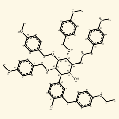 CCOc1ccc(Cc2cc([C@@H]3[C@@H](O)[C@H](COCc4ccc(OC)cc4)[C@@H](OCc4ccc(OC)cc4)[C@H](OCc4ccc(OC)cc4)[C@H]3OCc3ccc(OC)cc3)ccc2Cl)cc1